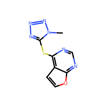 Cn1nnnc1Sc1ncnc2occc12